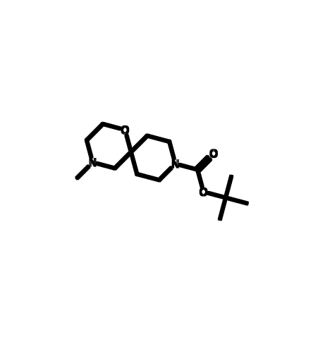 CN1CCOC2(CCN(C(=O)OC(C)(C)C)CC2)C1